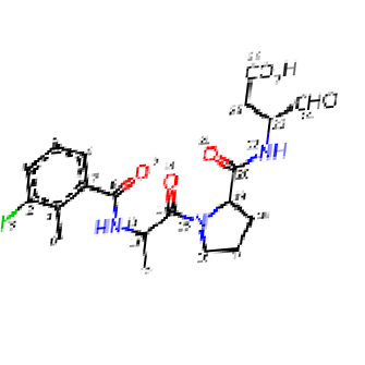 Cc1c(Cl)cccc1C(=O)NC(C)C(=O)N1CCCC1C(=O)N[C@H](C=O)CC(=O)O